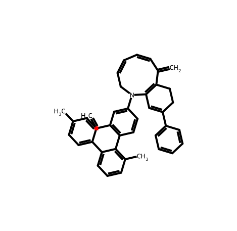 C=Cc1cc(N2C/C=C\C=C/C(=C)C3=C2C=C(c2ccccc2)CC3)ccc1-c1c(C)cccc1-c1ccc(C)cc1